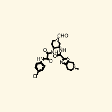 CN1CCc2nc(C(=O)N[C@@H]3CN(C=O)CC[C@@H]3NC(=O)C(=O)Nc3ccc(Cl)cc3)sc2C1